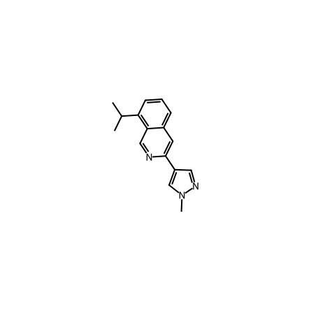 CC(C)c1cccc2cc(-c3cnn(C)c3)ncc12